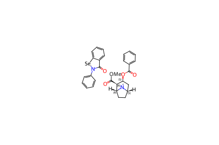 COC(=O)[C@H]1[C@@H](OC(=O)c2ccccc2)C[C@@H]2CC[C@H]1N2C.O=c1c2ccccc2[se]n1-c1ccccc1